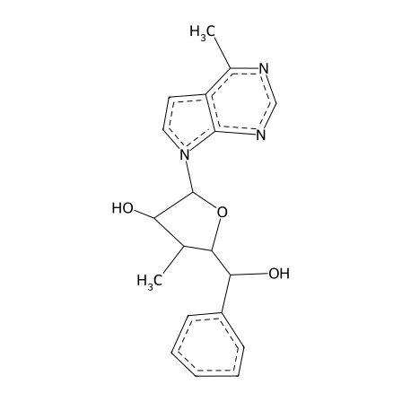 Cc1ncnc2c1ccn2C1OC(C(O)c2ccccc2)C(C)C1O